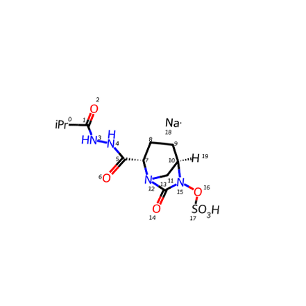 CC(C)C(=O)NNC(=O)[C@@H]1CC[C@@H]2CN1C(=O)N2OS(=O)(=O)O.[Na]